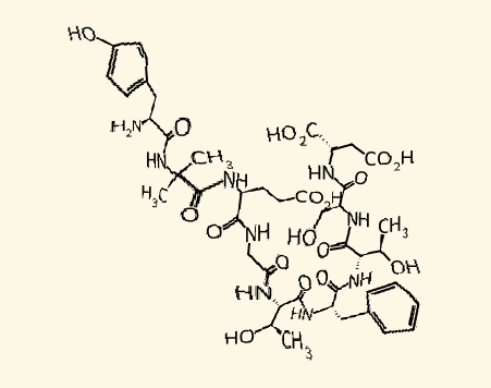 C[C@@H](O)[C@H](NC(=O)CNC(=O)[C@H](CCC(=O)O)NC(=O)C(C)(C)NC(=O)[C@@H](N)Cc1ccc(O)cc1)C(=O)N[C@@H](Cc1ccccc1)C(=O)N[C@H](C(=O)N[C@@H](CO)C(=O)N[C@@H](CC(=O)O)C(=O)O)[C@@H](C)O